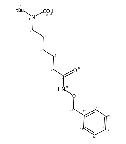 CC(C)(C)N(CCCCCC(=O)NOCc1ccccc1)C(=O)O